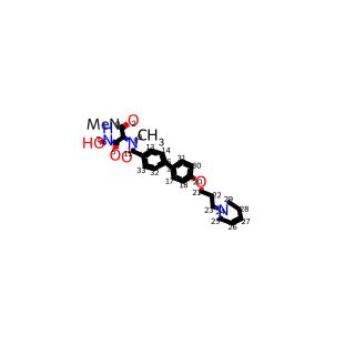 CNC(=O)C(C(=O)NO)N(C)C(=O)c1ccc(-c2ccc(OCCCN3CC=CCC3)cc2)cc1